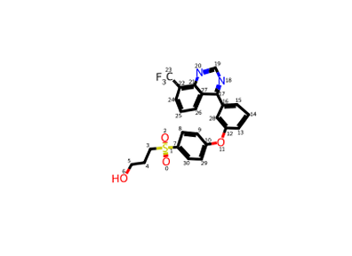 O=S(=O)(CCCO)c1ccc(Oc2cccc(-c3ncnc4c(C(F)(F)F)cccc34)c2)cc1